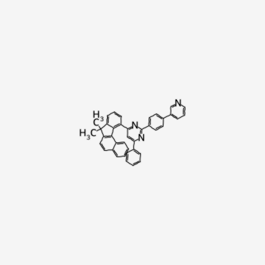 CC1(C)c2cccc(-c3cc(-c4ccccc4)nc(-c4ccc(-c5cccnc5)cc4)n3)c2-c2c1ccc1ccccc21